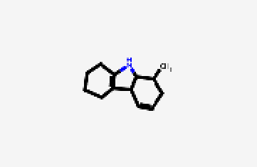 CC1CC=CC2C3=C(CCCC3)NC12